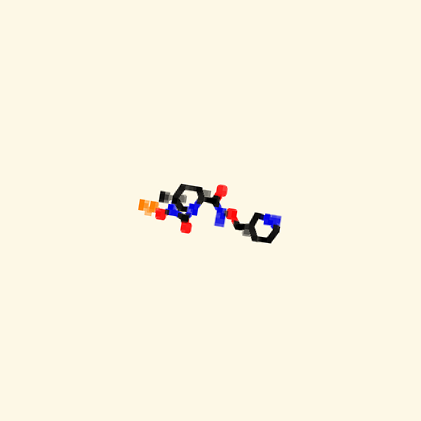 O=C(NOC[C@@H]1CCCNC1)[C@@H]1CC[C@H]2CN1C(=O)N2OP